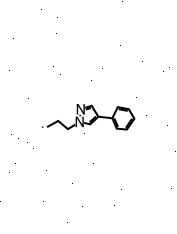 [CH2]CCn1cc(-c2ccccc2)cn1